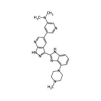 CN1CCN(c2cccc3[nH]c(-c4n[nH]c5ncc(-c6cncc(N(C)C)c6)cc45)nc23)CC1